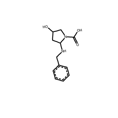 O=C(O)N1CC(O)CC1NCc1ccccc1